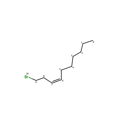 CCCCCC/C=C\CCBr